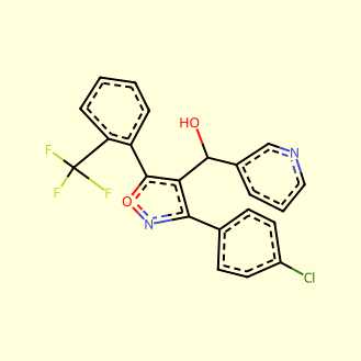 OC(c1cccnc1)c1c(-c2ccc(Cl)cc2)noc1-c1ccccc1C(F)(F)F